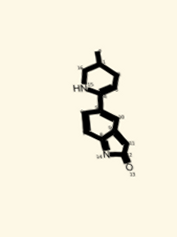 CC1CC=C(c2ccc3c(c2)=CC(=O)N=3)NC1